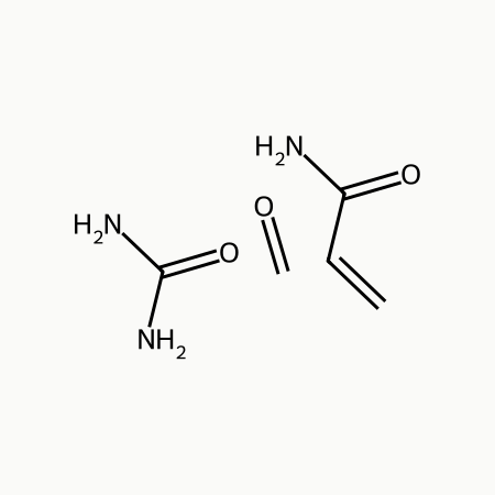 C=CC(N)=O.C=O.NC(N)=O